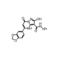 CCCNC(=O)c1c(O)nn2c(=O)cc(-c3ccc4c(c3)OCO4)[nH]c12